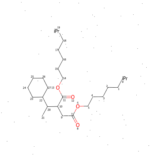 CC(C)CCCCCOC(=O)CC(C(=O)OCCCCCC(C)C)C(C)C1CCCCC1